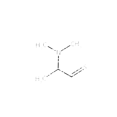 CC(C=S)N(C)C